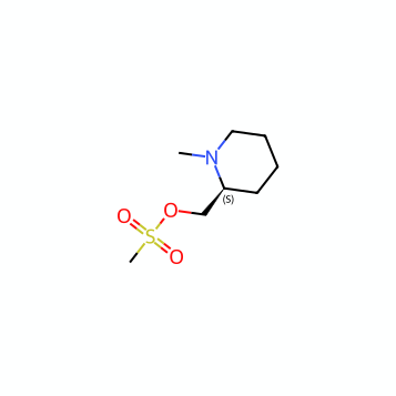 CN1CCCC[C@H]1COS(C)(=O)=O